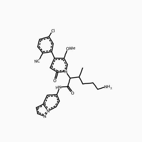 COc1cn(C(C(=O)Nc2ccn3nccc3c2)C(C)CCCN)c(=O)cc1-c1cc(Cl)ccc1C#N